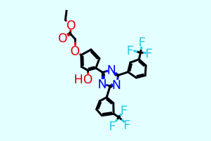 CCOC(=O)COc1ccc(-c2nc(-c3cccc(C(F)(F)F)c3)nc(-c3cccc(C(F)(F)F)c3)n2)c(O)c1